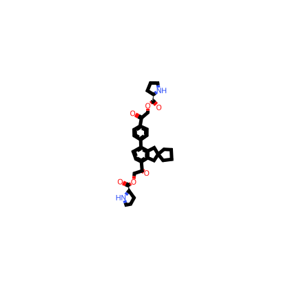 O=C(COC(=O)[C@@H]1CCCN1)c1ccc(-c2ccc(C(=O)COC(=O)[C@@H]3CCCN3)c3c2CC2(CCCC2)C3)cc1